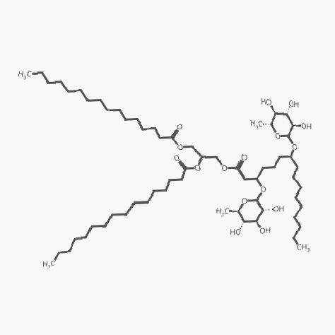 CCCCCCCCCCCCCCCC(=O)OCC(COC(=O)CC(CCCC(CCCCCCCCC)OC1O[C@H](C)[C@@H](O)[C@H](O)[C@H]1O)OC1O[C@H](C)[C@@H](O)[C@H](O)[C@H]1O)OC(=O)CCCCCCCCCCCCCCC